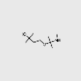 CNC(C)(C)OCCC(C)(C)O